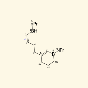 CCCB/C=C\CCC1=CB(C(C)C)CCC1